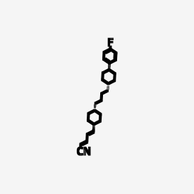 N#CC=CC=C[C@H]1CC[C@H](CCCC[C@H]2CC[C@H](c3ccc(F)cc3)CC2)CC1